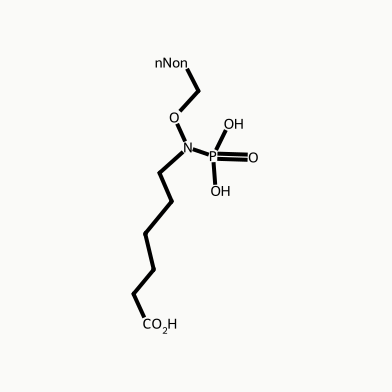 CCCCCCCCCCON(CCCCCC(=O)O)P(=O)(O)O